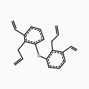 C=CCc1c(C=C)cccc1Oc1cccc(C=C)c1CC=C